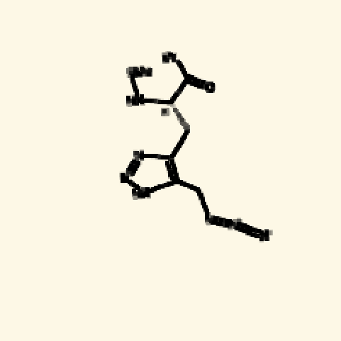 CSN[C@@H](Cc1nn[nH]c1CN=[N+]=[N-])C(=O)C(C)C